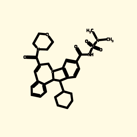 CN(C)S(=O)(=O)NC(=O)c1ccc2c(c1)N1CC(C(=O)N3CCOCC3)=Cc3ccccc3C1C2C1CCCCC1